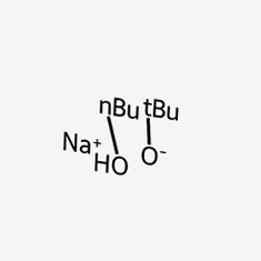 CC(C)(C)[O-].CCCCO.[Na+]